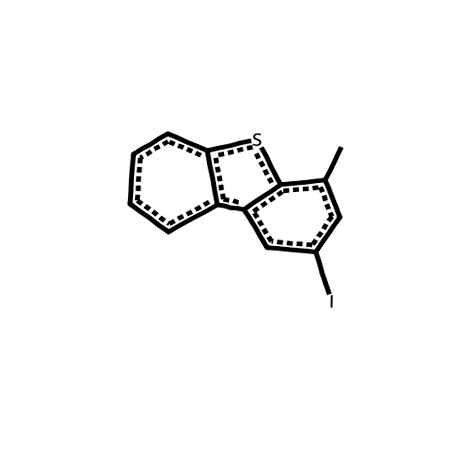 Cc1cc(I)cc2c1sc1ccccc12